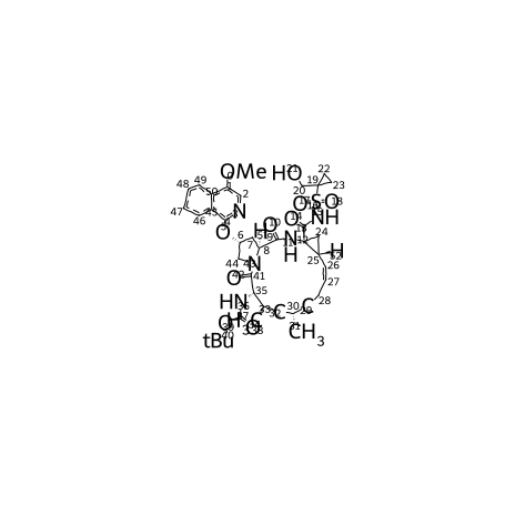 COc1cnc(O[C@@H]2C[C@H]3C(=O)N[C@]4(C(=O)NS(=O)(=O)C5(CO)CC5)C[C@@H]4/C=C\CC[C@H](C)C[C@@H](C)[C@H](NC(=O)OC(C)(C)C)C(=O)N3C2)c2ccccc12